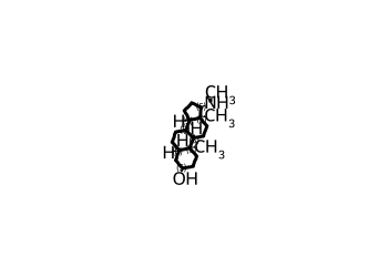 CN[C@H]1CC[C@H]2[C@@H]3CC[C@@H]4C[C@@H](O)CC[C@]4(C)[C@H]3CC[C@]12C